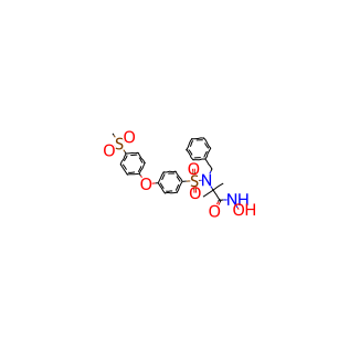 CC(C)(C(=O)NO)N(Cc1ccccc1)S(=O)(=O)c1ccc(Oc2ccc(S(C)(=O)=O)cc2)cc1